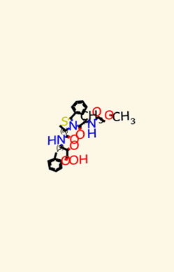 COCC(=O)N[C@@H](C)C(=O)N1C(c2ccccc2)SC[C@H]1C(=O)N[C@@H](Cc1ccccc1)C(=O)C(=O)O